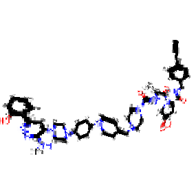 C#Cc1ccc(CNC(=O)[C@@H]2C[C@@H](O)CN2C(=O)[C@@H](NC(=O)N2CCN(CC3CCN([C@H]4CC[C@H](N5CCN(c6cc(-c7ccccc7O)nnc6NCC)CC5)CC4)CC3)CC2)C(C)(C)C)cc1